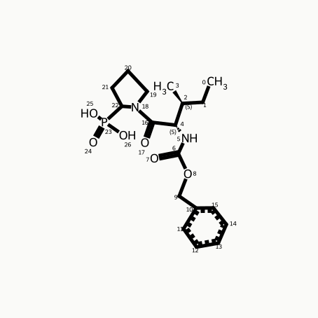 CC[C@H](C)[C@H](NC(=O)OCc1ccccc1)C(=O)N1CCCC1P(=O)(O)O